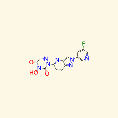 O=c1cnn(-c2ccc3nn(-c4cncc(F)c4)cc3n2)c(=O)n1O